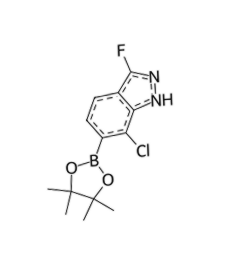 CC1(C)OB(c2ccc3c(F)n[nH]c3c2Cl)OC1(C)C